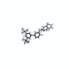 FC(F)(F)c1cc(-c2cccc(CNCC3CCCO3)c2)cc(C(F)(F)F)c1